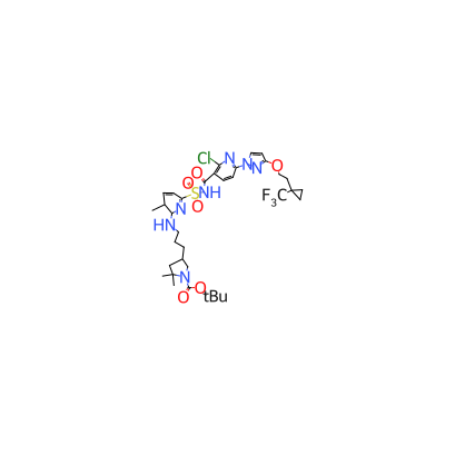 CC1C=CC(S(=O)(=O)NC(=O)c2ccc(-n3ccc(OCCC4(C(F)(F)F)CC4)n3)nc2Cl)=NC1NCCCC1CN(C(=O)OC(C)(C)C)C(C)(C)C1